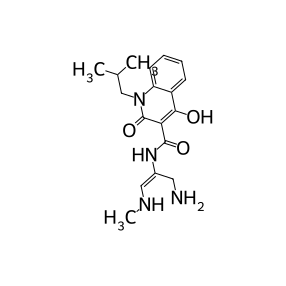 CN/C=C(\CN)NC(=O)c1c(O)c2ccccc2n(CC(C)C)c1=O